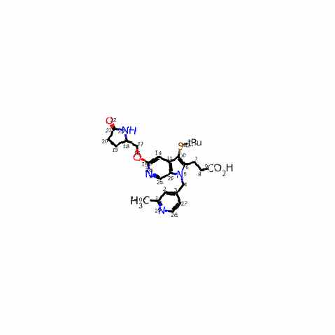 Cc1cc(Cn2c(CCC(=O)O)c(SC(C)(C)C)c3cc(OCC4CCC(=O)N4)ncc32)ccn1